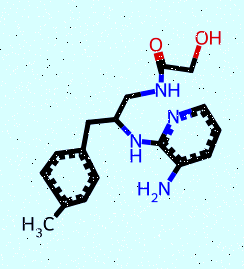 Cc1ccc(CC(CNC(=O)CO)Nc2ncccc2N)cc1